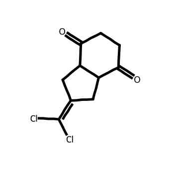 O=C1CCC(=O)C2CC(=C(Cl)Cl)CC12